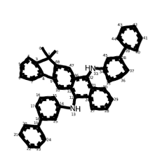 CC1(C)c2ccccc2-c2cc3c(Nc4cccc(-c5ccccc5)c4)c4ccccc4c(Nc4cccc(-c5ccccc5)c4)c3cc21